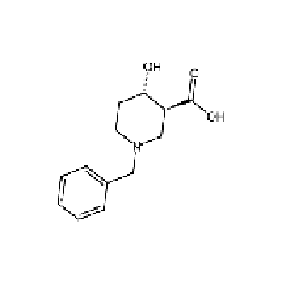 O=C(O)[C@H]1CN(Cc2ccccc2)CC[C@@H]1O